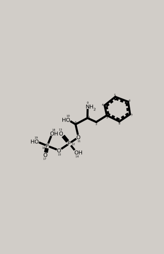 NC(Cc1ccccc1)C(O)OP(=O)(O)OP(=O)(O)O